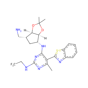 Cc1nc(NCC(F)(F)F)nc(N[C@@H]2C[C@H](CN)[C@H]3OC(C)(C)O[C@H]32)c1-c1nc2ccccc2s1